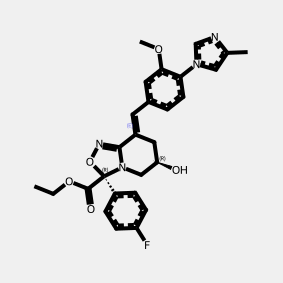 CCOC(=O)[C@@]1(c2ccc(F)cc2)ON=C2/C(=C/c3ccc(-n4cnc(C)c4)c(OC)c3)C[C@@H](O)CN21